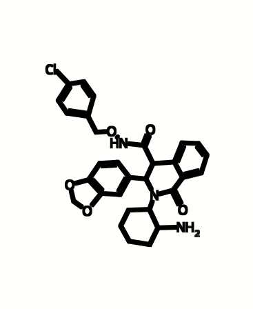 NC1CCCCC1N1C(=O)c2ccccc2C(C(=O)NOCc2ccc(Cl)cc2)C1c1ccc2c(c1)OCO2